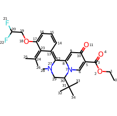 CCOC(=O)c1cn2c(cc1=O)/C(=c1\cccc(OCC(F)F)c1=C(C)C)N(C)CC2C(C)(C)C